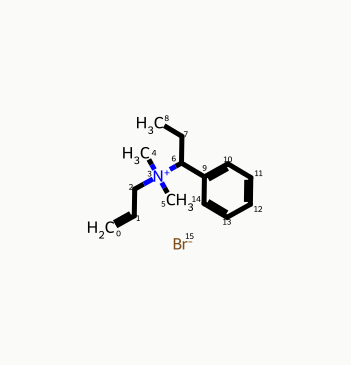 C=CC[N+](C)(C)C(CC)c1ccccc1.[Br-]